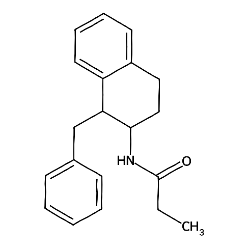 CCC(=O)NC1CCc2ccccc2C1Cc1ccccc1